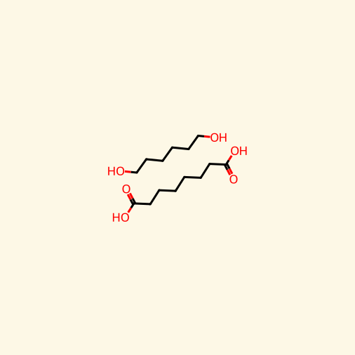 O=C(O)CCCCCCC(=O)O.OCCCCCCO